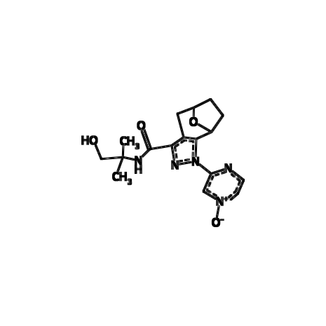 CC(C)(CO)NC(=O)c1nn(-c2c[n+]([O-])ccn2)c2c1CC1CCC2O1